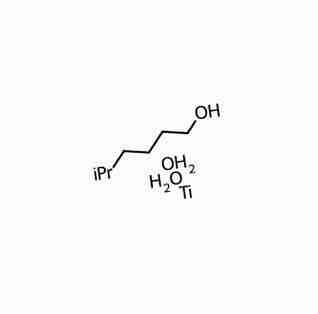 CC(C)CCCCO.O.O.[Ti]